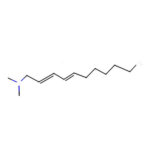 CCCCCCCCCCCCCCC=CC=CCN(C)C.Cl